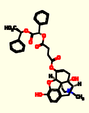 CN1CC[C@]23c4c5ccc(O)c4O[C@H]2C(OC(=O)CCC(=O)O[C@H](C(=O)O[C@H](C(=O)O)c2ccccc2)c2ccccc2)=CC[C@@]3(O)[C@H]1C5